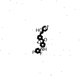 COc1ccc(C=CC2(O)CCN(C)CC2)cc1C(=O)c1ccc(Nc2ccc(F)cc2F)cc1